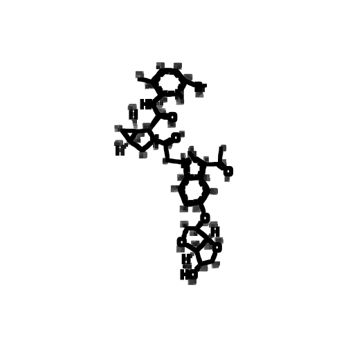 CC(=O)c1nn(CC(=O)N2C[C@H]3C[C@H]3[C@H]2C(=O)Nc2nc(Br)ccc2C)c2ccc(O[C@@H]3CO[C@H]4[C@@H]3OC[C@H]4O)cc12